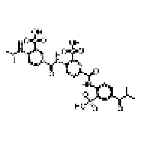 CC(C)Nc1ccc(C(=O)Nc2ccc(C(=O)Nc3ccc(C(=O)C(C)C)cc3S(=O)(=O)O)cc2S(=O)(=O)O)cc1S(=O)(=O)O